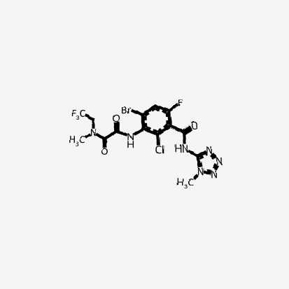 CN(CC(F)(F)F)C(=O)C(=O)Nc1c(Br)cc(F)c(C(=O)Nc2nnnn2C)c1Cl